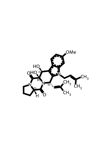 COc1ccc2c3c(n(CC=C(C)C)c2c1)[C@H](C=C(C)C)N1C(=O)[C@@H]2CCCN2C(=O)[C@]1(O)[C@H]3O